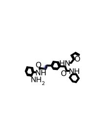 Nc1ccccc1NC(=O)/C=C/c1ccc(C(NCc2ccco2)C(=O)NC2CCCCC2)cc1